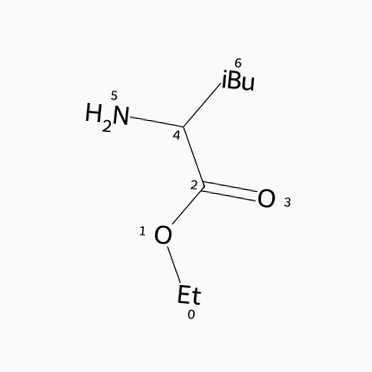 CCOC(=O)C(N)C(C)CC